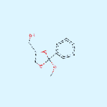 COC1(c2ccccc2)OCC(CO)O1